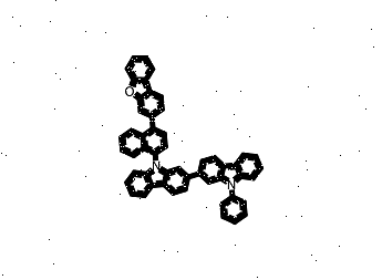 c1ccc(-n2c3ccccc3c3ccc(-c4ccc5c6ccccc6n(-c6ccc(-c7ccc8c(c7)oc7ccccc78)c7ccccc67)c5c4)cc32)cc1